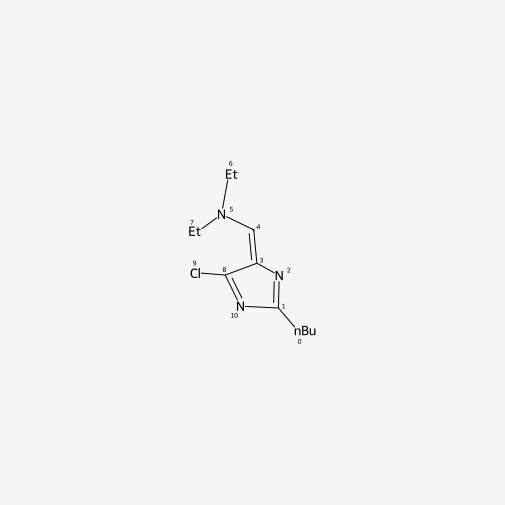 CCCCC1=N/C(=C/N(CC)CC)C(Cl)=N1